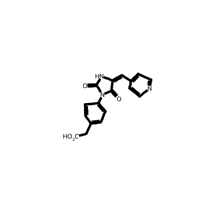 O=C(O)Cc1ccc(N2C(=O)NC(=Cc3ccncc3)C2=O)cc1